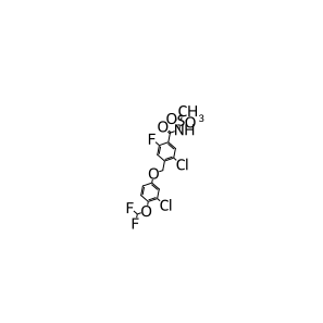 CS(=O)(=O)NC(=O)c1cc(Cl)c(COc2ccc(OC(F)F)c(Cl)c2)cc1F